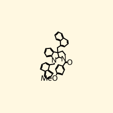 COc1ccc(C(=O)N2CCC3(Cc4cccc5ccccc45)c4ccccc4N(Cc4cccc5ccccc45)C23)cc1